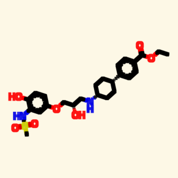 CCOC(=O)c1ccc([C@H]2CC[C@@H](NC[C@H](O)COc3ccc(O)c(NS(C)(=O)=O)c3)CC2)cc1